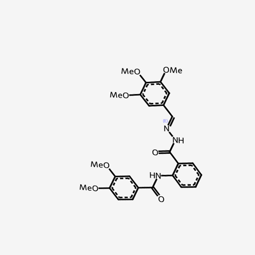 COc1ccc(C(=O)Nc2ccccc2C(=O)N/N=C/c2cc(OC)c(OC)c(OC)c2)cc1OC